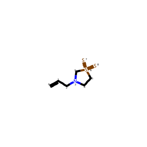 C=CCN1CCS(=S)(=S)C1